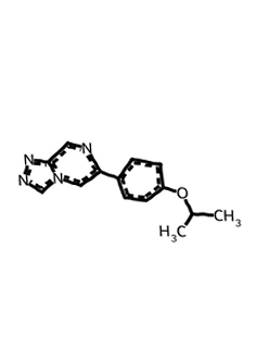 CC(C)Oc1ccc(-c2cn3cnnc3cn2)cc1